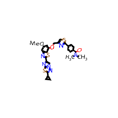 COc1cc(OCc2csc(-c3ccc(C(=O)N(C)C)cc3)n2)c2sc(-c3cn4nc(C5CC5)sc4n3)nc2c1